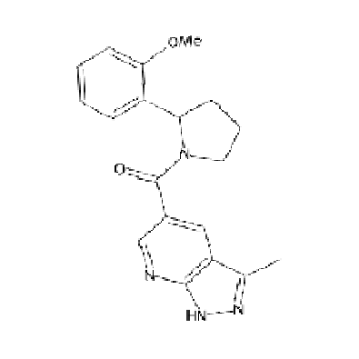 COc1ccccc1C1CCCN1C(=O)c1cnc2[nH]nc(C)c2c1